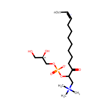 CCCCCCCC/C=C\CCCCCCCC(=O)C(C[N+](C)(C)C)OP(=O)([O-])OC[C@H](O)CO